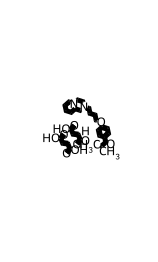 CC(C)C(=O)c1ccc(OCCCCN2CCN3CCCCC3C2)cc1.O=C(O)C=CC(=O)O.O=C(O)C=CC(=O)O